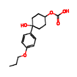 CCCOc1ccc(C2(O)CCC(OC(=O)O)CC2)cc1